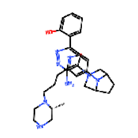 C[C@@H]1CNCCN1CCCc1cc(N2C3CCC2CN(c2cc(-c4ccccc4O)nnc2N)C3)ccn1